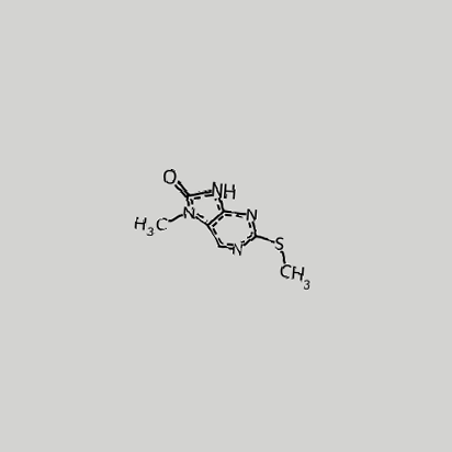 CSc1ncc2c(n1)[nH]c(=O)n2C